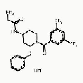 Cl.NCC(=O)N[C@H]1CCN(C(=O)c2cc(C(F)(F)F)cc(C(F)(F)F)c2)[C@H](Cc2ccccc2)C1